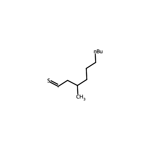 CCCCCCCC(C)C[C]=S